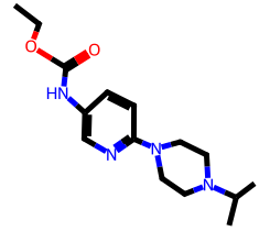 CCOC(=O)Nc1ccc(N2CCN(C(C)C)CC2)nc1